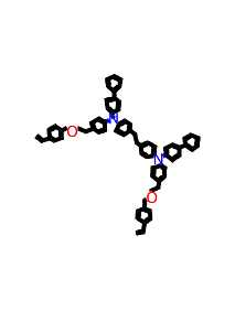 C=Cc1ccc(COCCc2ccc(N(c3ccc(CCc4ccc(N(c5ccc(CCOCc6ccc(C=C)cc6)cc5)c5ccc(-c6ccccc6)cc5)cc4)cc3)c3ccc(-c4ccccc4)cc3)cc2)cc1